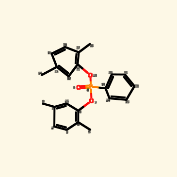 Cc1ccc(C)c(OP(=O)(Oc2cc(C)ccc2C)c2ccccc2)c1